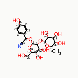 C[C@@H]1O[C@@H](O[C@@H]2[C@H](OC(C#N)c3ccc(O)cc3)O[C@H](CO)[C@@H](O)[C@@H]2O)[C@@H](O)[C@@H](O)[C@H]1O